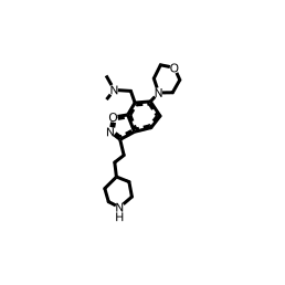 CN(C)Cc1c(N2CCOCC2)ccc2c(CCC3CCNCC3)noc12